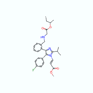 CCC(C)OC(=O)CNCc1ccccc1-c1nc(C(C)C)n(C=CC(=O)OC)c1-c1ccc(F)cc1